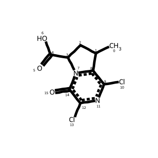 CC1CC(C(=O)O)n2c1c(Cl)nc(Cl)c2=O